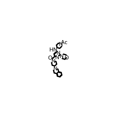 CC(=O)N1CCC(Nc2cc(C(=O)N3CCC(N4CCc5ccccc5C4)CC3)nc(N3CCOCC3)n2)CC1